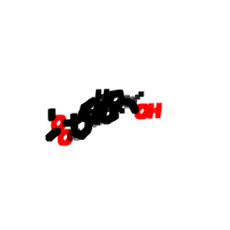 CCOC(C)O[C@H]1CC[C@]2(C)C(=CC[C@H]3[C@@H]4CC[C@@H]([C@H](C)CO)[C@@]4(C)CC[C@@H]32)C1(C)C